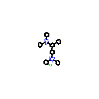 Clc1ccccc1-c1nc(-c2ccccc2)nc(-c2ccc(-c3cc(-c4ccccc4)cc(-c4nc(-c5ccccc5)nc(-c5ccccc5)n4)c3)cc2)n1